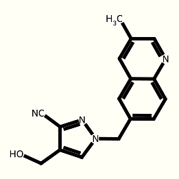 Cc1cnc2ccc(Cn3cc(CO)c(C#N)n3)cc2c1